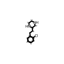 Clc1ccccc1CCC1CNCCN1